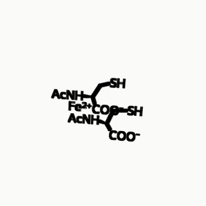 CC(=O)N[C@@H](CS)C(=O)[O-].CC(=O)N[C@@H](CS)C(=O)[O-].[Fe+2]